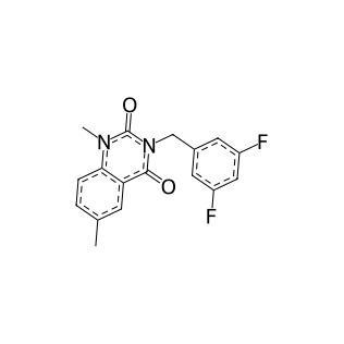 Cc1ccc2c(c1)c(=O)n(Cc1cc(F)cc(F)c1)c(=O)n2C